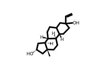 C=CC1(O)CC[C@H]2C(CC[C@@H]3[C@@H]2CC[C@]2(C)C[C@H](O)C[C@@H]32)C1